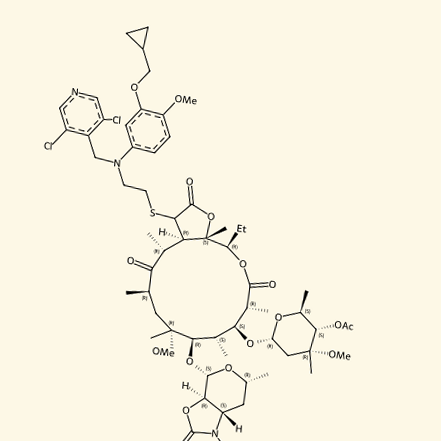 CC[C@H]1OC(=O)[C@H](C)[C@@H](O[C@H]2C[C@@](C)(OC)[C@@H](OC(C)=O)[C@H](C)O2)[C@H](C)[C@@H](O[C@@H]2O[C@H](C)C[C@H]3[C@H]2OC(=O)N3C)[C@](C)(OC)C[C@@H](C)C(=O)[C@H](C)[C@H]2C(SCCN(Cc3c(Cl)cncc3Cl)c3ccc(OC)c(OCC4CC4)c3)C(=O)O[C@@]21C